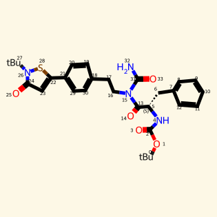 CC(C)(C)OC(=O)N[C@@H](Cc1ccccc1)C(=O)N(CCc1ccc(-c2cc(=O)n(C(C)(C)C)s2)cc1)C(N)=O